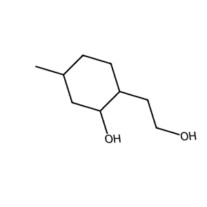 CC1CCC(CCO)C(O)C1